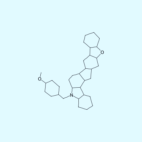 COC1CCC(CN2C3CCCCC3C3C4CC5CC6OC7CCCCC7C6CC5C4CCC32)CC1